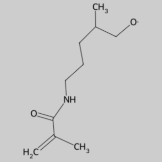 C=C(C)C(=O)NCCCC(C)C[O]